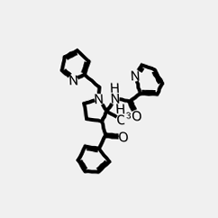 CC1(NC(=O)c2ccccn2)C(C(=O)c2ccccc2)CCN1Cc1ccccn1